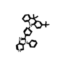 CC(C)(C)c1ccc2c(c1)C(C)(C)c1ccccc1N2c1ccc(-c2nc3ccncc3n2-c2ccccc2)cc1